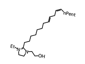 CCCCC/C=C\C/C=C/CCCCCCCC1=[N+](CC)CCN1CCO